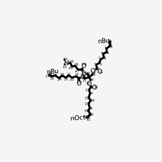 CCCC/C=C\CCCCCCCC(=O)OCC(COC(=O)CCCCCCC/C=C\CCCC)(COC(=O)CCCCCCC/C=C\CCCCCCCC)COC(=O)CCCCN(C)C